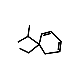 CCC1(C(C)C)C=CC=CC1